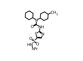 CCCNS(=O)(=O)c1cnc(NC(=O)N(C2CCCCC2)C2CCC(C)CC2)s1